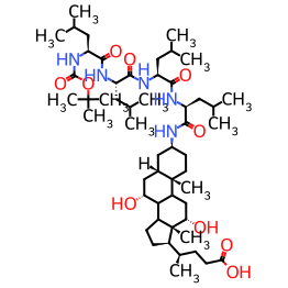 CC(C)C[C@H](NC(=O)OC(C)(C)C)C(=O)N[C@@H](CC(C)C)C(=O)N[C@@H](CC(C)C)C(=O)N[C@@H](CC(C)C)C(=O)N[C@H]1CC[C@]2(C)C3C[C@H](O)[C@@]4(C)C(CC[C@@H]4[C@H](C)CCC(=O)O)C3[C@H](O)C[C@@H]2C1